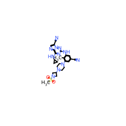 Cc1c(Nc2nc(NC3CC3)c3ncc(C#N)n3n2)cc(C#N)cc1N1CCN(C2CN(S(C)(=O)=O)C2)CC1